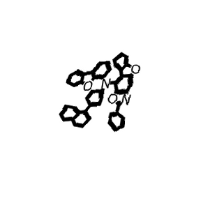 c1ccc(-c2nc3cc4oc5ccccc5c4c(N(c4ccc(-c5cccc6ccccc56)cc4)c4cccc5c4oc4ccccc45)c3o2)cc1